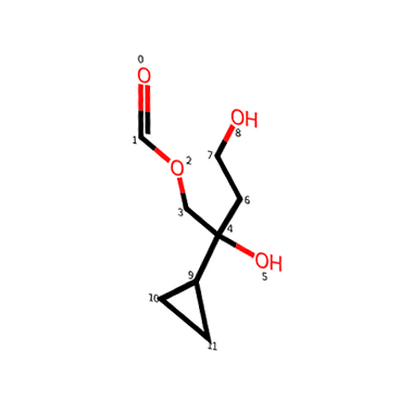 O=COCC(O)(CCO)C1CC1